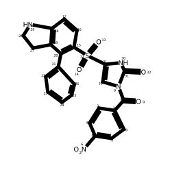 O=C(c1ccc([N+](=O)[O-])cc1)n1cc(S(=O)(=O)c2ccc3c(c2-c2ccccc2)CCN3)[nH]c1=O